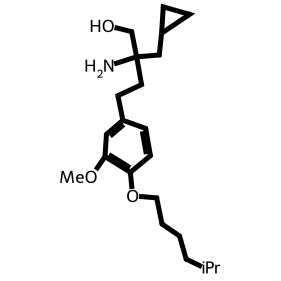 COc1cc(CCC(N)(CO)CC2CC2)ccc1OCCCCC(C)C